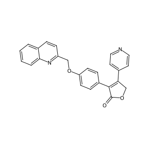 O=C1OCC(c2ccncc2)=C1c1ccc(OCc2ccc3ccccc3n2)cc1